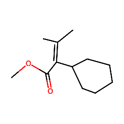 COC(=O)C(=C(C)C)C1CCCCC1